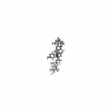 CCNC(=O)NCC1(O)CCN(C(=O)C[C@@H]2CCc3cc(C(O)(C(F)(F)F)C(F)(F)F)ccc3N2S(=O)(=O)c2ccc(F)cc2)C1